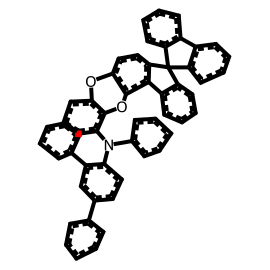 c1ccc(-c2ccc(N(c3ccccc3)c3cccc4c3Oc3c(ccc5c3-c3ccccc3C53c5ccccc5-c5ccccc53)O4)c(-c3ccccc3)c2)cc1